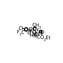 CCOC(=O)c1nnc(-c2ncc(C)cc2NS(=O)(=O)c2ccc(Cl)c(C(F)(F)F)c2)n1-c1ccon1